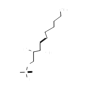 CCCCCCCCCCCCC/C=C/[C@H](O)[C@H](N)COP(C)(=O)O